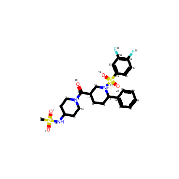 CS(=O)(=O)NC1CCN(C(=O)C2CCC(c3ccccc3)N(S(=O)(=O)c3ccc(F)c(F)c3)C2)CC1